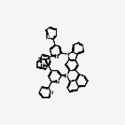 c1ccc(-c2cc(-c3ccccn3)nc(N3c4cc5c(cc4-c4cccc6cccc3c46)c3ccccc3n5-c3cc(-c4ccccn4)cc(-c4ccccn4)n3)c2)nc1